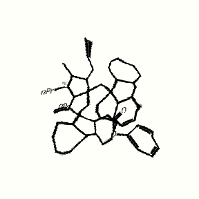 C=CCC1C(C)[C@H](CCC)C(C=C)C1(CC1(CCC(=O)Oc2ccccc2)C2CC=CCC2C2CCCCC21)CC1(CCC)C2CCCCC2C2CCCCC21